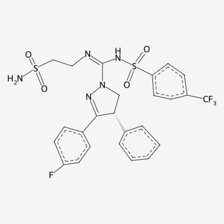 NS(=O)(=O)CC/N=C(/NS(=O)(=O)c1ccc(C(F)(F)F)cc1)N1C[C@H](c2ccccc2)C(c2ccc(F)cc2)=N1